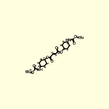 CC(C)(C)OC(=O)NC1CCC(OC(=O)/C=C/C(=O)OC2CCC(NC(=O)OC(C)(C)C)CC2)CC1